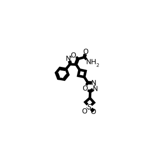 NC(=O)c1onc(-c2ccccc2)c1C1CC(c2nnc(C3CS(=O)(=O)C3)o2)C1